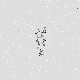 COC1CCc2cc(/C=N/O)ccc21